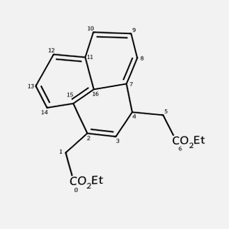 CCOC(=O)CC1=CC(CC(=O)OCC)c2cccc3cccc1c23